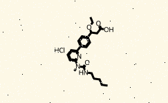 CCCCCNC(=O)N(C)c1cccc(-c2ccc(C(CC(=O)O)OCC)cc2)n1.Cl